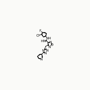 N=C(Nc1ccc(F)c(Cl)c1)c1nonc1Cn1nnc(-c2cccnc2)n1